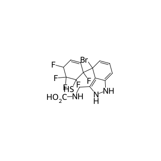 O=C(O)NCC1=C2C(=CC=CC2(Br)C2(F)C=CC(F)C(F)(F)C2(F)S)NN1